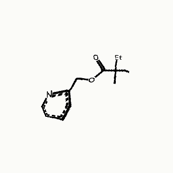 CCC(C)(C)C(=O)OCc1ccccn1